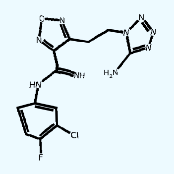 N=C(Nc1ccc(F)c(Cl)c1)c1nonc1CCn1nnnc1N